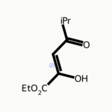 CCOC(=O)/C(O)=C/C(=O)C(C)C